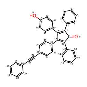 O=C1C(c2ccccc2)=C(c2ccc(O)cc2)C(c2ccc(C#Cc3ccccc3)cc2)=C1c1ccccc1